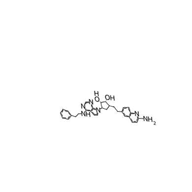 Nc1ccc2cc(CC[C@H]3C[C@@H](n4ccc5c(NCCc6ccccc6)ncnc54)[C@H](O)[C@@H]3O)ccc2n1